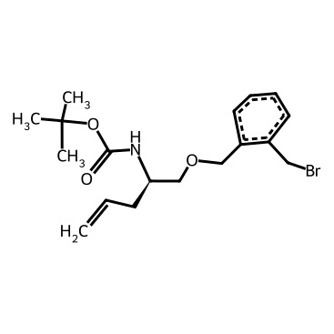 C=CC[C@H](COCc1ccccc1CBr)NC(=O)OC(C)(C)C